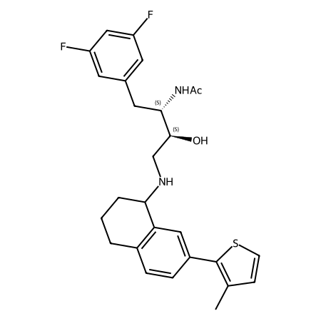 CC(=O)N[C@@H](Cc1cc(F)cc(F)c1)[C@@H](O)CNC1CCCc2ccc(-c3sccc3C)cc21